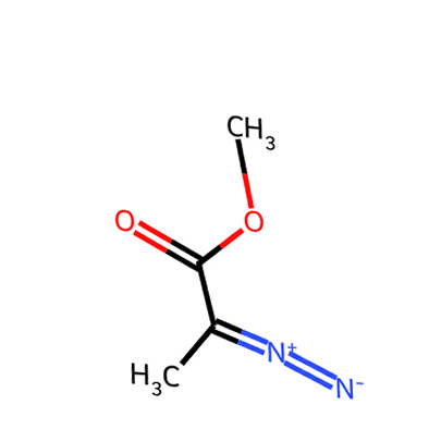 COC(=O)C(C)=[N+]=[N-]